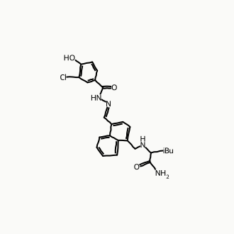 CCC(C)C(NCc1ccc(C=NNC(=O)c2ccc(O)c(Cl)c2)c2ccccc12)C(N)=O